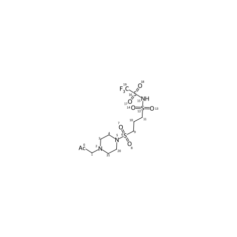 CC(=O)CN1CCN(S(=O)(=O)CCCS(=O)(=O)NS(=O)(=O)C(F)(F)F)CC1